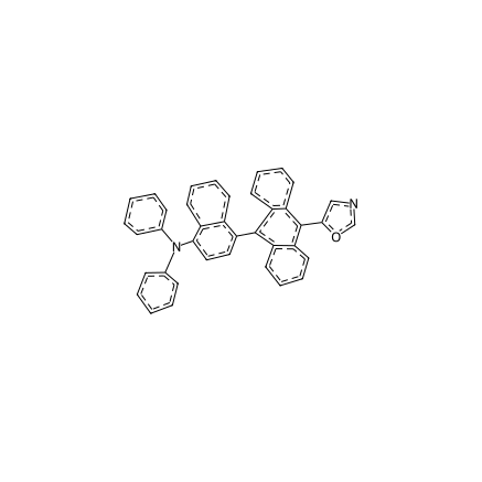 c1ccc(N(c2ccccc2)c2ccc(-c3c4ccccc4c(-c4cnco4)c4ccccc34)c3ccccc23)cc1